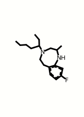 CCCCC(CC)N1CCc2ccc(F)cc2NC(C)C1